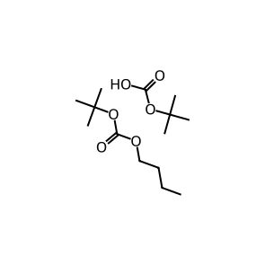 CC(C)(C)OC(=O)O.CCCCOC(=O)OC(C)(C)C